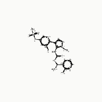 C[C@@H](OC(=O)Nc1c(-c2ncc(OS(C)(=O)=O)cc2F)cnn1C)c1cccnc1Cl